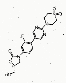 O=C1O[C@@H](CO)CN1c1ccc(-c2cnc(N3CCS(=O)(=O)CC3)nc2)c(F)c1